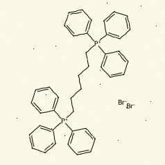 [Br-].[Br-].c1ccc([P+](CCCCCC[P+](c2ccccc2)(c2ccccc2)c2ccccc2)(c2ccccc2)c2ccccc2)cc1